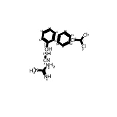 ClC(Cl)Cl.N#CS.N=C(N)N.Oc1ccccc1.c1ccccc1